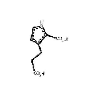 CCOC(=O)c1[nH]ccc1CCC(=O)O